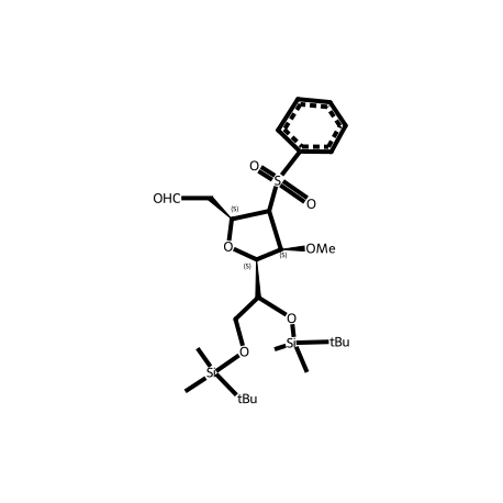 CO[C@@H]1C(S(=O)(=O)c2ccccc2)[C@H](CC=O)O[C@@H]1C(CO[Si](C)(C)C(C)(C)C)O[Si](C)(C)C(C)(C)C